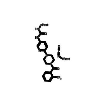 CCCCCN=C=O.CCCCCNC(=O)Nc1ccc(N2CCN(C(=O)c3ccccc3C(F)(F)F)CC2)nc1